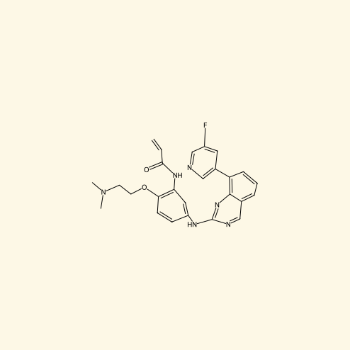 C=CC(=O)Nc1cc(Nc2ncc3cccc(-c4cncc(F)c4)c3n2)ccc1OCCN(C)C